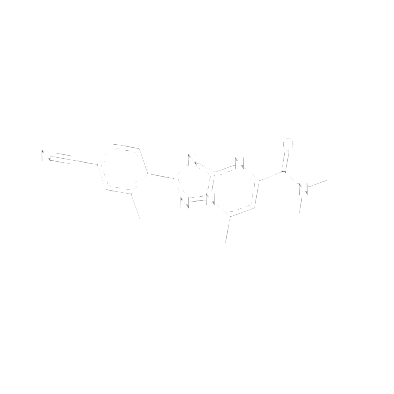 Cc1cc(C#N)ccc1-c1nc2nc(C(=O)N(C)C)cc(C)n2n1